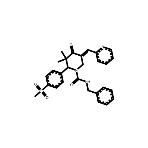 CC1(C)C(=O)C(=Cc2ccccn2)CN(C(=O)NCc2ccccc2)C1c1ccc(S(C)(=O)=O)cc1